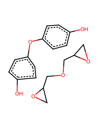 C(OCC1CO1)C1CO1.Oc1ccc(Oc2ccc(O)cc2)cc1